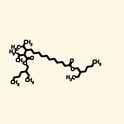 CCCCC(CC)COC(=O)CCCCCCCCCCC(C(C)C)C(C(=O)OCC(CC)CCCC)C(C)C